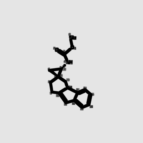 CC(C)(C)OC(=O)N[C@H]1C[C@@]12CCc1cc3ccccc3n1C2